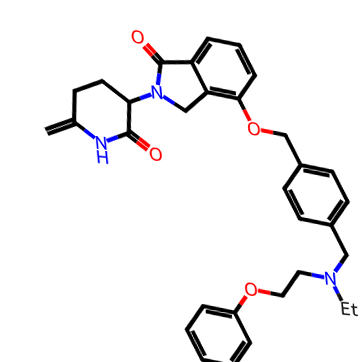 C=C1CCC(N2Cc3c(OCc4ccc(CN(CC)CCOc5ccccc5)cc4)cccc3C2=O)C(=O)N1